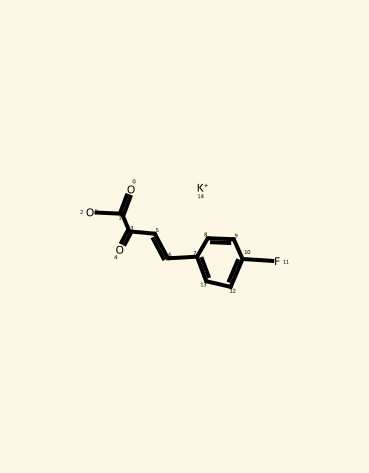 O=C([O-])C(=O)C=Cc1ccc(F)cc1.[K+]